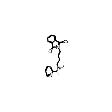 C[C@@H](NCCCCN1C(=O)c2ccccc2C1=O)c1ccccn1